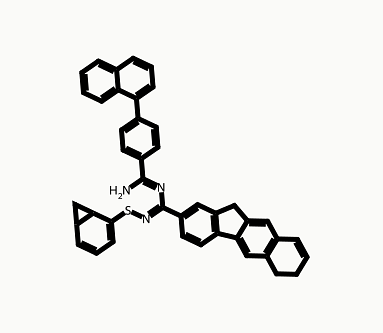 N/C(=N\C(=N/SC1=CC=CC2CC12)c1ccc2c(c1)Cc1cc3c(cc1-2)CCC=C3)c1ccc(-c2cccc3ccccc23)cc1